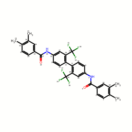 Cc1ccc(C(=O)Nc2ccc(-c3ccc(NC(=O)c4ccc(C)c(C)c4)cc3C(F)(F)F)c(C(F)(F)F)c2)cc1C